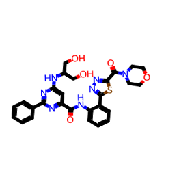 O=C(Nc1ccccc1-c1nnc(C(=O)N2CCOCC2)s1)c1cc(NC(CO)CO)nc(-c2ccccc2)n1